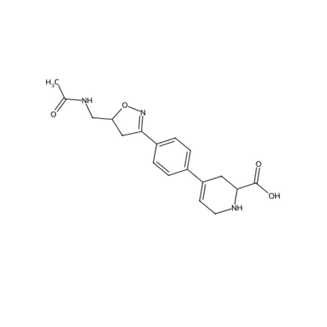 CC(=O)NCC1CC(c2ccc(C3=CCNC(C(=O)O)C3)cc2)=NO1